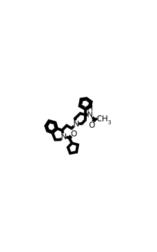 CC(=O)NC1(c2ccccc2)CCN(CCC2c3ccccc3CCN2C(=O)C2CCCC2)CC1